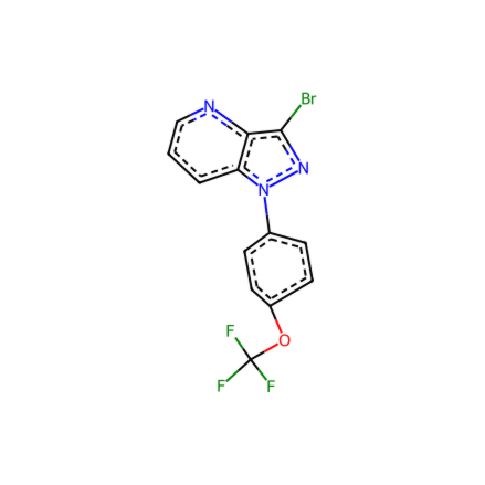 FC(F)(F)Oc1ccc(-n2nc(Br)c3ncccc32)cc1